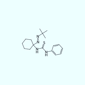 CC(C)(C)N=NC1(NC(=S)Nc2ccccc2)CCCCC1